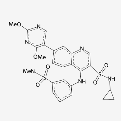 CNS(=O)(=O)c1cccc(Nc2c(S(=O)(=O)NC3CC3)cnc3cc(-c4cnc(OC)nc4OC)ccc23)c1